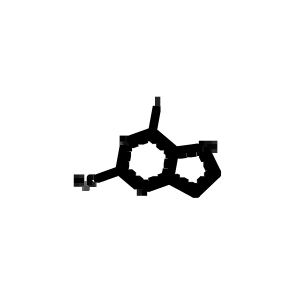 Cc1nc(I)c2[nH]ccc2n1